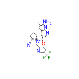 Cc1cc2cc(C(=O)N(Cc3ccc(C(F)(F)F)cn3)[C@H]3CCC[C@H]3C#N)cnc2nc1N